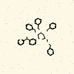 OC(c1cccc([C@@H]2O[C@H](COCc3ccccc3)[C@@H](OCc3ccccc3)[C@H](OCc3ccccc3)[C@H]2OCc2ccccc2)c1)c1ccccn1